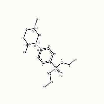 CCOP(=O)(OCC)c1ccc([C@H]2C[C@@H](C)CCN2C)cc1